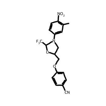 Cc1cc(N2CC(COc3ccc(C#N)cc3)OC2C(F)(F)F)ccc1[N+](=O)[O-]